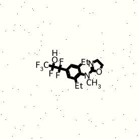 CCc1cc(C(F)(F)C(O)(F)C(F)(F)F)cc(CC)c1N(C)C1=NCCO1